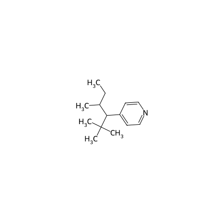 CCC(C)C(c1ccncc1)C(C)(C)C